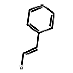 [B]C=Cc1ccccc1